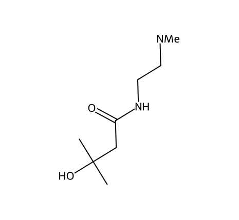 CNCCNC(=O)CC(C)(C)O